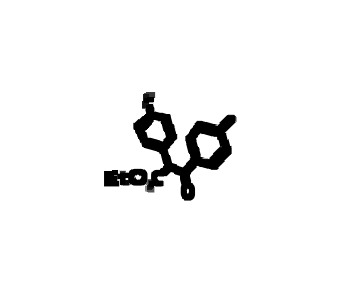 CCOC(=O)C(C(=O)c1ccc(C)cc1)c1ccc(F)cc1